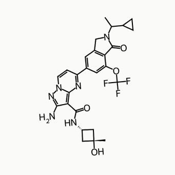 CC(C1CC1)N1Cc2cc(-c3ccn4nc(N)c(C(=O)N[C@H]5C[C@@](C)(O)C5)c4n3)cc(OC(F)(F)F)c2C1=O